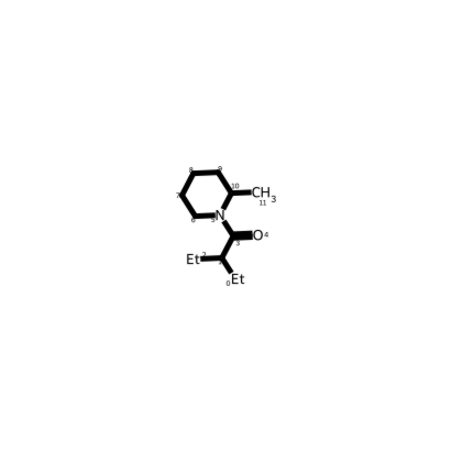 CCC(CC)C(=O)N1CCCCC1C